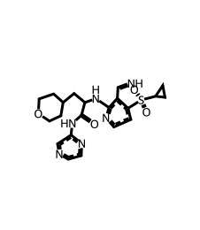 N=Cc1c(S(=O)(=O)C2CC2)ccnc1NC(CC1CCOCC1)C(=O)Nc1cnccn1